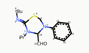 CC(C)N1C(=NC(C)(C)C)SCN(c2ccccc2)C1C=O